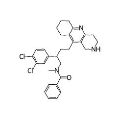 CN(CC(CCc1c2c(nc3c1CNCC3)CCCC2)c1ccc(Cl)c(Cl)c1)C(=O)c1ccccc1